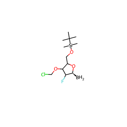 B[C@@H]1OC(CO[Si](C)(C)C(C)(C)C)C(OCCl)C1F